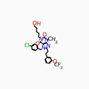 Cn1c(=O)n(CCCCCO)c(=O)c2c1nc(CCc1cccc(OC(F)(F)F)c1)n2Cc1ccc(Cl)cc1